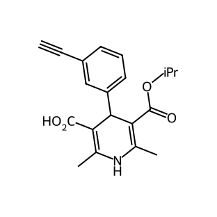 C#Cc1cccc(C2C(C(=O)O)=C(C)NC(C)=C2C(=O)OC(C)C)c1